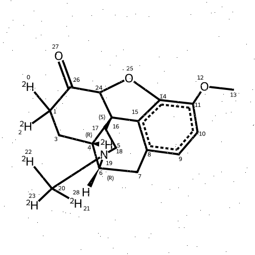 [2H]C1([2H])C[C@@]2([2H])[C@H]3Cc4ccc(OC)c5c4[C@@]2(CCN3C([2H])([2H])[2H])C(O5)C1=O